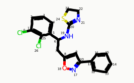 Clc1cccc(C(Cc2cc(-c3ccccc3)no2)NC2=NCCS2)c1Cl